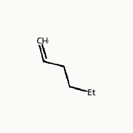 [CH]=CCCC[CH2]